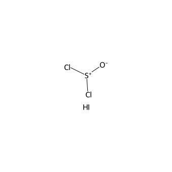 I.[O-][S+](Cl)Cl